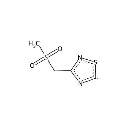 CS(=O)(=O)Cc1n[c]sn1